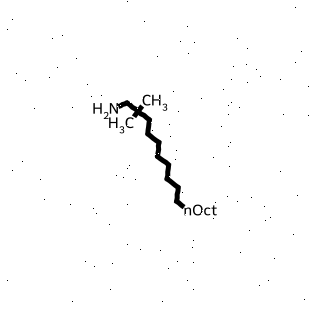 CCCCCCCCCCCCCCCCC(C)(C)CN